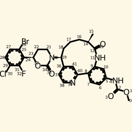 COC(=O)Nc1ccc2c(c1)NC(=O)[C@H](C)CCC[C@H](N1CC[C@H](c3c(Br)ccc(Cl)c3F)OC1=O)c1ccnc-2c1